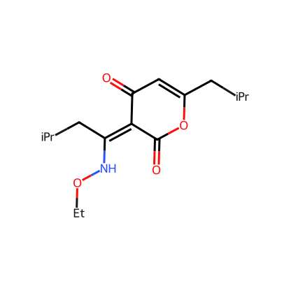 CCONC(CC(C)C)=C1C(=O)C=C(CC(C)C)OC1=O